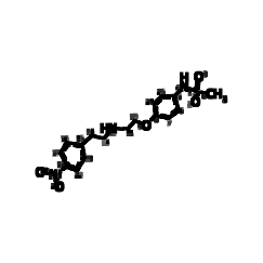 CS(=O)(=O)Nc1ccc(OCCNCCc2ccc([N+](=O)[O-])cc2)cc1